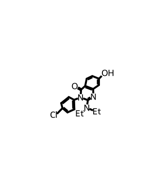 CCN(CC)c1nc2cc(O)ccc2c(=O)n1-c1ccc(Cl)cc1